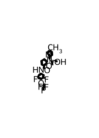 Cc1ccc(N2c3cccc(C(=O)Nc4cc(F)c(OCC(F)(F)F)c(F)c4)c3OC[C@@H]2CO)nc1